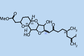 C=C(I)C[C@H](C)CCC(=O)/C=C1/OC2C(O[C@H]3CCC(CC(=O)OC)O[C@@H]3C2O)C1O